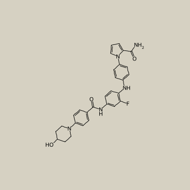 NC(=O)c1cccn1-c1ccc(Nc2ccc(NC(=O)c3ccc(N4CCC(O)CC4)cc3)cc2F)cc1